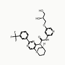 O=C(Nc1cncc(OC[C@@H](O)CO)c1)N1c2nc(-c3cccc(C(F)(F)F)c3)ncc2N2CCC[C@H]1C2